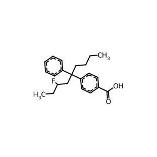 CCCCC(CC(F)CC)(c1ccccc1)c1ccc(C(=O)O)cc1